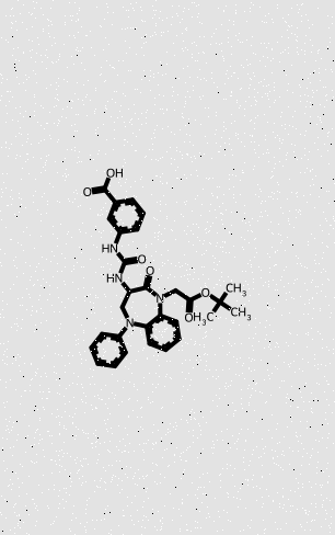 CC(C)(C)OC(=O)CN1C(=O)C(NC(=O)Nc2cccc(C(=O)O)c2)CN(c2ccccc2)c2ccccc21